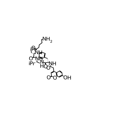 CC(C)C[C@H](NC(=O)CCCCN)C(=O)N[C@H](CNC(=O)[C@H](Cc1ccccc1)NC(=O)Cc1cc(=O)oc2cc(O)ccc12)C(C)C